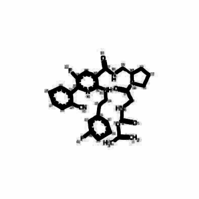 C=C(C)OC(=O)NCC(=O)N1CCC[C@@H]1CNC(=O)c1cc(F)c(-c2ccccc2C#N)nc1NCCc1cccc(F)c1